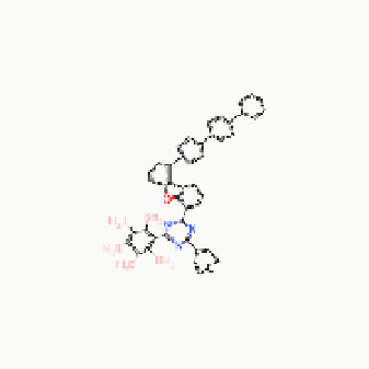 Bc1c(B)c(B)c(-c2nc(-c3ccccc3)nc(-c3cccc4c3oc3cccc(-c5ccc(-c6ccc(-c7ccccc7)cc6)cc5)c34)n2)c(B)c1B